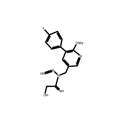 COc1ncc(CN(N=N)C(=N)CO)cc1-c1ccc(F)cc1